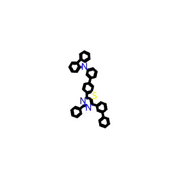 c1ccc(-c2cccc(-c3nc(-c4ccccc4)nc4c3sc3cc(-c5cccc(-n6c7ccccc7c7ccccc76)c5)ccc34)c2)cc1